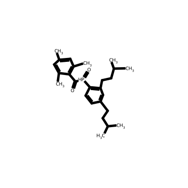 Cc1cc(C)c(C(=O)[PH](=O)c2ccc(CCC(C)C)cc2CCC(C)C)c(C)c1